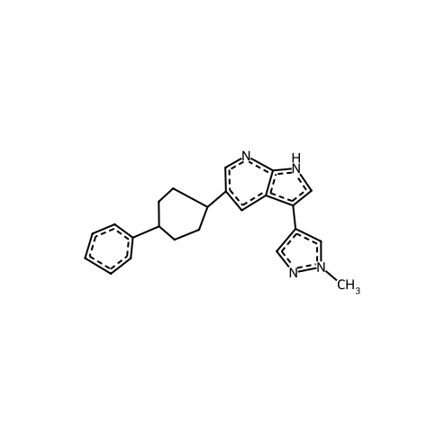 Cn1cc(-c2c[nH]c3ncc(C4CCC(c5ccccc5)CC4)cc23)cn1